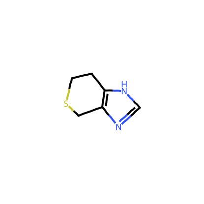 c1nc2c([nH]1)CCSC2